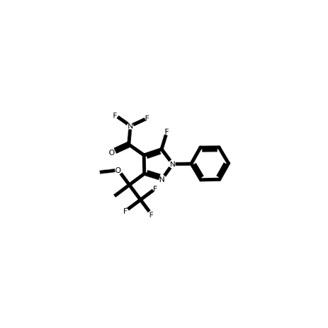 COC(C)(c1nn(-c2ccccc2)c(F)c1C(=O)N(F)F)C(F)(F)F